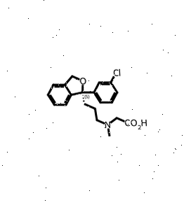 CN(CCC[C@@]1(c2cccc(Cl)c2)OCc2ccccc21)CC(=O)O